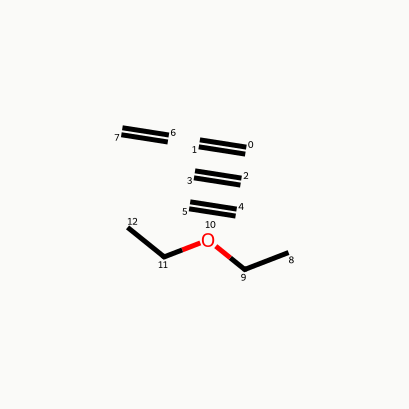 C=C.C=C.C=C.C=C.CCOCC